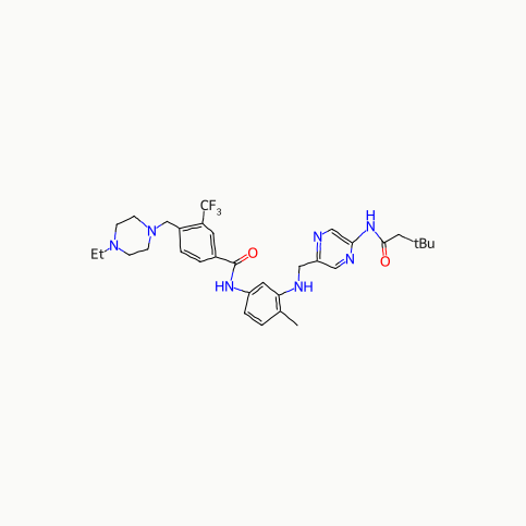 CCN1CCN(Cc2ccc(C(=O)Nc3ccc(C)c(NCc4cnc(NC(=O)CC(C)(C)C)cn4)c3)cc2C(F)(F)F)CC1